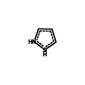 c1c[nH][siH]c1